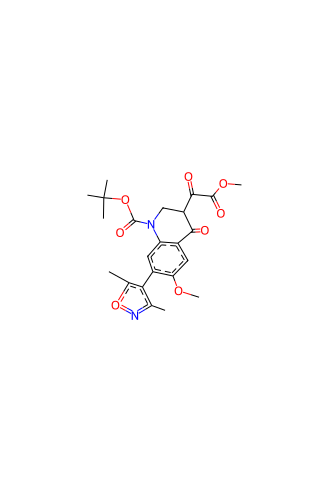 COC(=O)C(=O)C1CN(C(=O)OC(C)(C)C)c2cc(-c3c(C)noc3C)c(OC)cc2C1=O